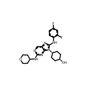 O[C@H]1CC[C@@H](n2c(Nc3ccc(F)cc3F)nc3cnc(NC4CCOCC4)nc32)CC1